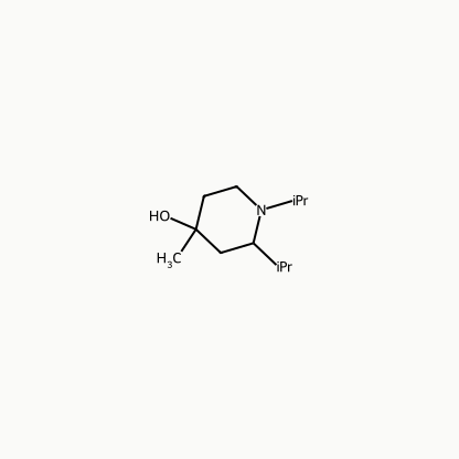 CC(C)C1CC(C)(O)CCN1C(C)C